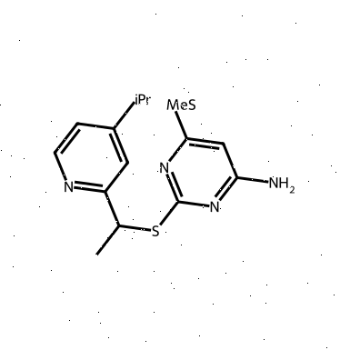 CSc1cc(N)nc(SC(C)c2cc(C(C)C)ccn2)n1